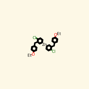 CCOc1ccc(Cc2c[c]([Zn][c]3ccc(Cl)c(Cc4ccc(OCC)cc4)c3)ccc2Cl)cc1